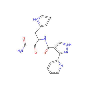 NC(=O)C(=O)C(Cc1ccc[nH]1)NC(=O)c1c[nH]nc1-c1ccccn1